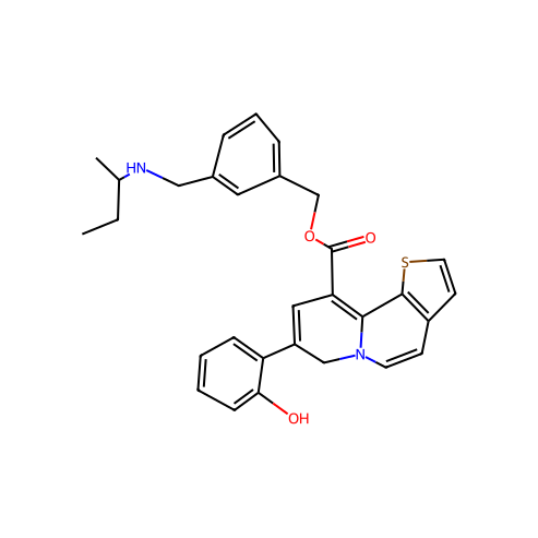 CCC(C)NCc1cccc(COC(=O)C2=C3c4sccc4C=CN3CC(c3ccccc3O)=C2)c1